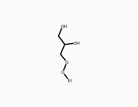 CCOOCC(O)CO